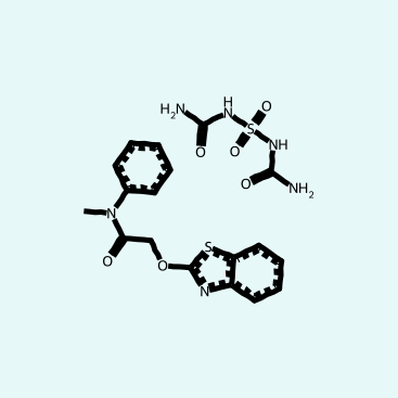 CN(C(=O)COc1nc2ccccc2s1)c1ccccc1.NC(=O)NS(=O)(=O)NC(N)=O